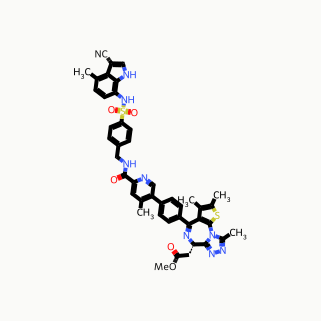 COC(=O)C[C@@H]1N=C(c2ccc(-c3cnc(C(=O)NCc4ccc(S(=O)(=O)Nc5ccc(C)c6c(C#N)c[nH]c56)cc4)cc3C)cc2)c2c(sc(C)c2C)-n2c(C)nnc21